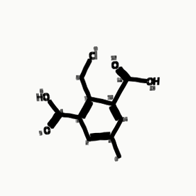 Cc1cc(C(=O)O)c(CCl)c(C(=O)O)c1